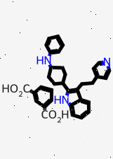 O=C(O)c1cccc(C(=O)O)c1.c1ccc(NC2CCC(c3[nH]c4ccccc4c3CCc3ccncc3)CC2)cc1